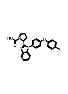 O=C(O)N1CCC[C@H]1c1nc2ccccc2n1-c1ccc(Oc2ccc(F)cc2)cc1